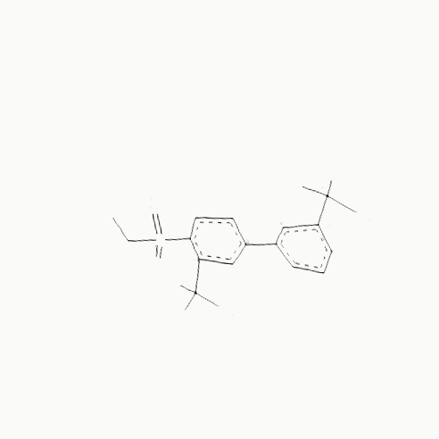 CCS(=O)(=O)c1ccc(-c2[c]ccc(C(F)(F)F)c2)cc1C(F)(F)F